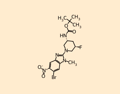 Cn1c(N2C[C@H](F)C[C@@H](NC(=O)OC(C)(C)C)C2)nc2cc([N+](=O)[O-])c(Br)cc21